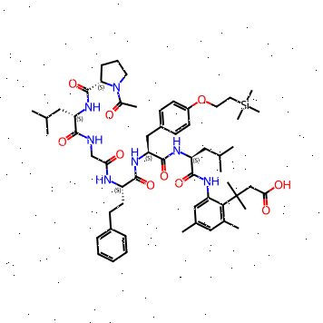 CC(=O)N1CCC[C@H]1C(=O)N[C@@H](CC(C)C)C(=O)NCC(=O)N[C@@H](CCc1ccccc1)C(=O)N[C@@H](Cc1ccc(OCC[Si](C)(C)C)cc1)C(=O)N[C@@H](CC(C)C)C(=O)Nc1cc(C)cc(C)c1C(C)(C)CC(=O)O